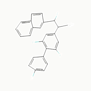 CCCC(c1cc(F)c(-c2ccc(F)cc2)c(F)c1)C(F)c1ccc2ccccc2c1